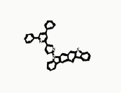 c1ccc(-c2cc(-c3ccccc3)nc(-c3ccc(-n4c5ccccc5c5cc6cc7c(cc6cc54)sc4ccccc47)nc3)c2)cc1